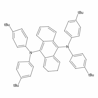 CC(C)(C)c1ccc(N(c2ccc(C(C)(C)C)cc2)c2c3c(c(N(c4ccc(C(C)(C)C)cc4)c4ccc(C(C)(C)C)cc4)c4ccccc24)=CCCC=3)cc1